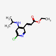 CCOC(=O)/C=C/c1cnc(Cl)cc1NC(C)C